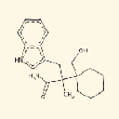 CC(Cc1c[nH]c2ccccc12)(C(N)=O)C1(CO)CCCCC1